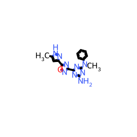 Cc1cc(-c2nc(-c3nc(N)nc(N(C)c4ccccc4)n3)no2)n[nH]1